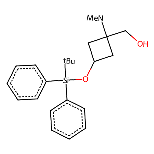 CNC1(CO)CC(O[Si](c2ccccc2)(c2ccccc2)C(C)(C)C)C1